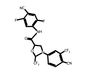 N#Cc1cc(F)c(NC(=O)C2CN(c3ccc(C#N)c(C(F)(F)F)c3)C(C(F)(F)F)O2)cc1F